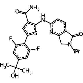 CC(C)N1Cc2nc(Nc3sc(-c4c(F)cc(C(C)(C)O)cc4F)cc3C(N)=O)ccc2C1=O